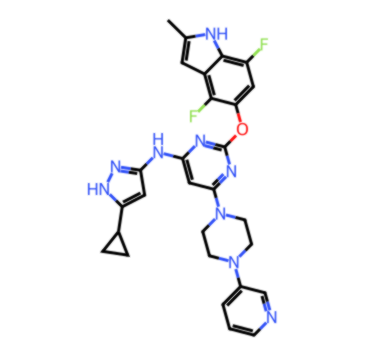 Cc1cc2c(F)c(Oc3nc(Nc4cc(C5CC5)[nH]n4)cc(N4CCN(c5cccnc5)CC4)n3)cc(F)c2[nH]1